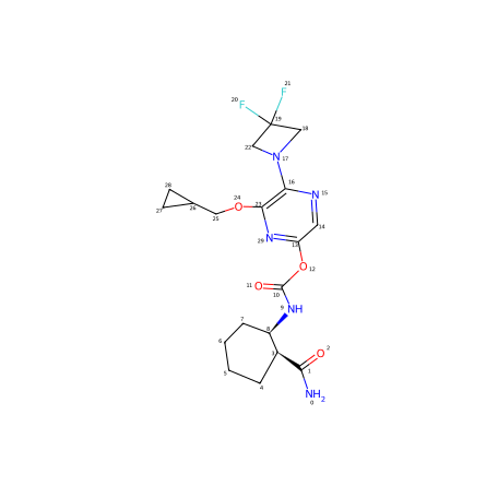 NC(=O)[C@H]1CCCC[C@H]1NC(=O)Oc1cnc(N2CC(F)(F)C2)c(OCC2CC2)n1